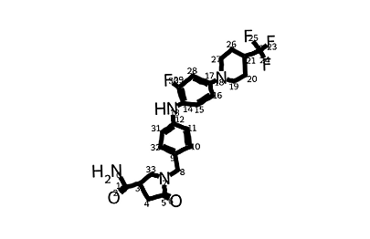 NC(=O)C1CC(=O)N(Cc2ccc(Nc3ccc(N4CCC(C(F)(F)F)CC4)cc3F)cc2)C1